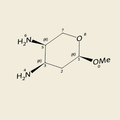 CO[C@H]1C[C@@H](N)[C@@H](N)CO1